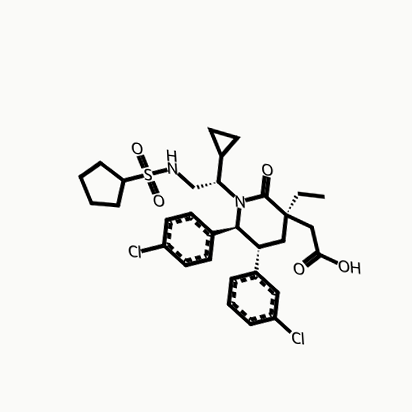 CC[C@]1(CC(=O)O)C[C@H](c2cccc(Cl)c2)[C@@H](c2ccc(Cl)cc2)N([C@H](CNS(=O)(=O)C2CCCC2)C2CC2)C1=O